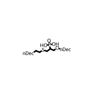 CCCCCCCCCCCCSCC(COCCCCCCCCCC)P(=O)(O)O